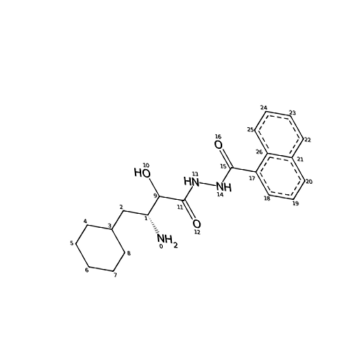 N[C@H](CC1CCCCC1)C(O)C(=O)NNC(=O)c1cccc2ccccc12